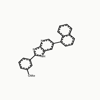 COc1cccc(-c2nc3ncc(-c4cccc5ccccc45)cc3[nH]2)c1